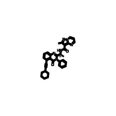 Cc1nn2cccnc2c1C(=O)N[C@@H](C)c1nc2cccc(C#CC3CCCCC3)c2c(=O)n1-c1ccccc1